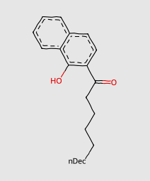 CCCCCCCCCCCCCCC(=O)c1ccc2ccccc2c1O